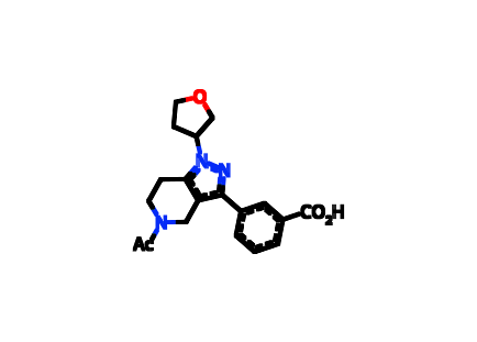 CC(=O)N1CCc2c(c(-c3cccc(C(=O)O)c3)nn2C2CCOC2)C1